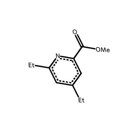 CCc1cc(CC)nc(C(=O)OC)c1